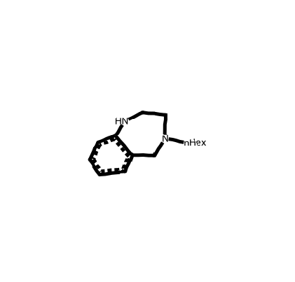 CCCCCCN1C[CH]Nc2ccccc2C1